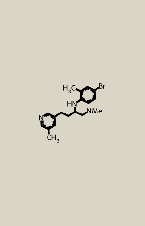 CNCC(CCc1cncc(C)c1)Nc1ccc(Br)cc1C